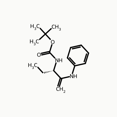 C=C(Nc1ccccc1)[C@H](CC)NC(=O)OC(C)(C)C